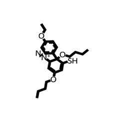 CCCCOC1=CC([N+]#N)C(OCCCC)(c2ccc(OCC)cc2)C(S)=C1